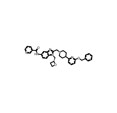 O=C(Nc1ccc2c(c1)nc(CN1CCC(c3cccc(OCc4ccccc4)n3)CC1)n2C[C@@H]1CCO1)c1cccnc1